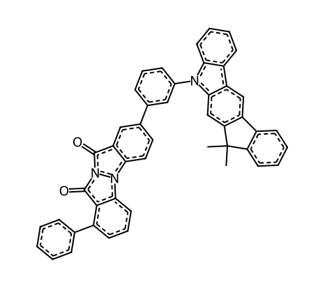 CC1(C)c2ccccc2-c2cc3c4ccccc4n(-c4cccc(-c5ccc6c(c5)c(=O)n5c(=O)c7c(-c8ccccc8)cccc7n65)c4)c3cc21